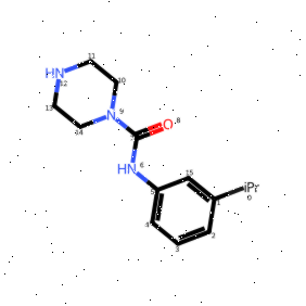 CC(C)c1cccc(NC(=O)N2CCNCC2)c1